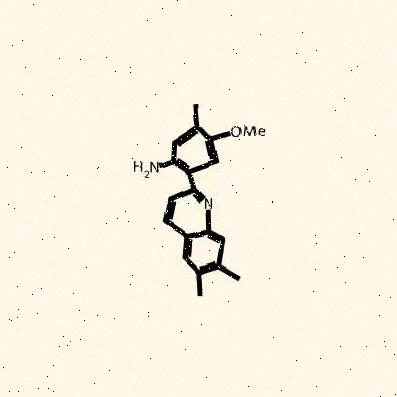 COc1cc(-c2ccc3cc(C)c(C)cc3n2)c(N)cc1C